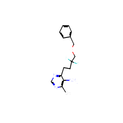 CC(C)c1ncnc(CCC(F)(F)COCc2ccccc2)c1N